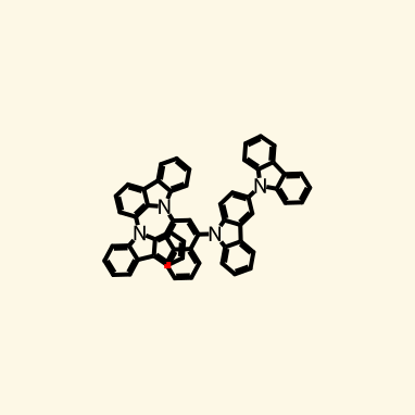 c1ccc2c(-n3c4ccccc4c4cc(-n5c6ccccc6c6ccccc65)ccc43)cc(-n3c4ccccc4c4cccc(-n5c6ccccc6c6ccccc65)c43)cc2c1